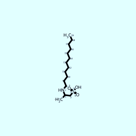 [CH2]C(CS(=O)(=O)O)NCCCCCCCCCCCC